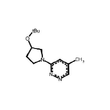 Cc1cnnc(N2CCC(OC(C)(C)C)C2)c1